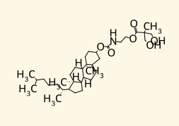 CC(C)CCC[C@@H](C)C1CC[C@H]2[C@@H]3CC=C4CC(OC(=O)NCCOC(=O)C(C)(CO)CO)CC[C@]4(C)[C@H]3CC[C@]12C